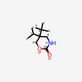 CC(C)C1(C(C)(C)C)CNC(=O)OC1